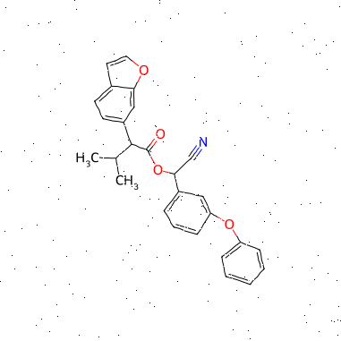 CC(C)C(C(=O)OC(C#N)c1cccc(Oc2ccccc2)c1)c1ccc2ccoc2c1